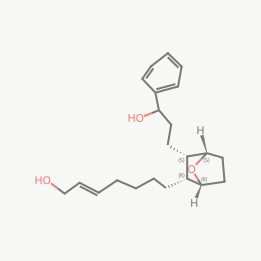 OCC=CCCCC[C@@H]1[C@H](CCC(O)c2ccccc2)[C@@H]2CC[C@H]1O2